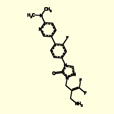 CN(C)c1ccc(-c2ccc(-n3cnn(CC(CN)=C(F)F)c3=O)cc2F)cn1